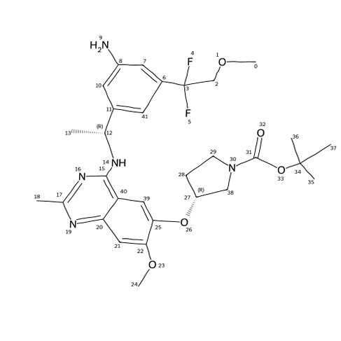 COCC(F)(F)c1cc(N)cc([C@@H](C)Nc2nc(C)nc3cc(OC)c(O[C@@H]4CCN(C(=O)OC(C)(C)C)C4)cc23)c1